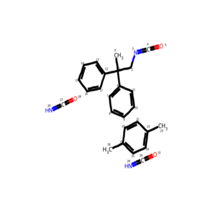 CC(CN=C=O)(c1ccccc1)c1ccccc1.Cc1ccc(C)cc1.N=C=O.N=C=O